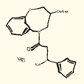 COC1COc2ccccc2N(C(=O)C[C@H](N)c2ccccc2)C1.Cl